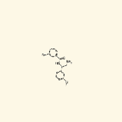 COc1cccc(C(CN)NC(=O)c2cccc(Br)c2)c1